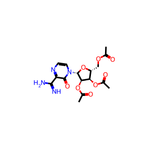 CC(=O)OC[C@H]1O[C@@H](n2ccnc(C(=N)N)c2=O)[C@H](OC(C)=O)[C@@H]1OC(C)=O